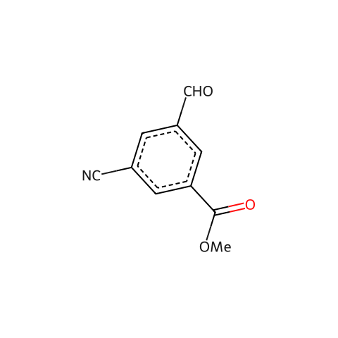 COC(=O)c1cc(C#N)cc(C=O)c1